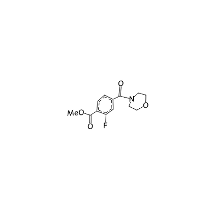 COC(=O)c1ccc(C(=O)N2CCOCC2)cc1F